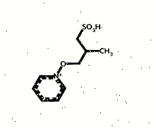 CC(CO[n+]1ccccc1)CS(=O)(=O)O